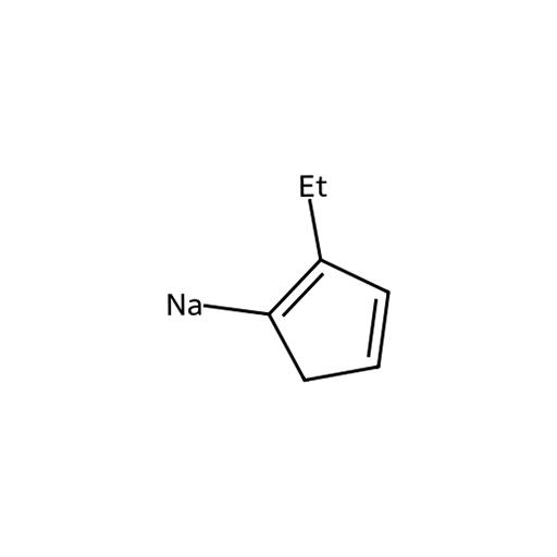 CCC1=[C]([Na])CC=C1